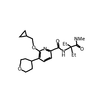 CCC(CC)(NC(=O)c1ccc(C2CCOCC2)c(OCC2CC2)n1)C(=O)NC